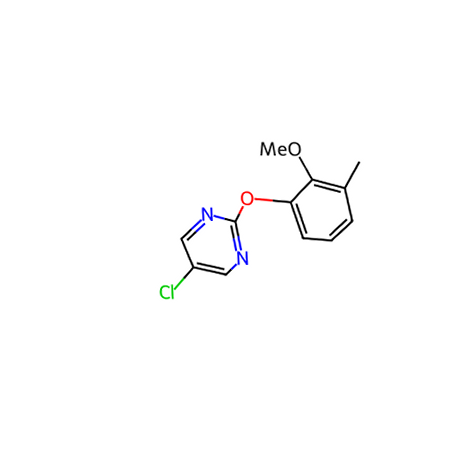 COc1c(C)cccc1Oc1ncc(Cl)cn1